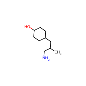 CC(CN)CC1CCC(O)CC1